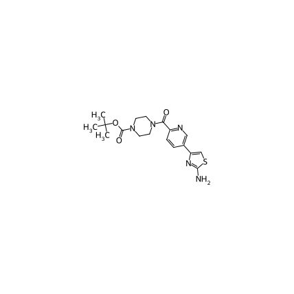 CC(C)(C)OC(=O)N1CCN(C(=O)c2ccc(-c3csc(N)n3)cn2)CC1